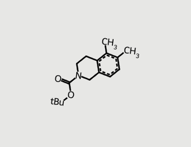 Cc1ccc2c(c1C)CCN(C(=O)OC(C)(C)C)C2